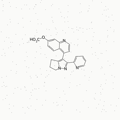 O=C(O)Oc1ccc2c(-c3c(-c4ccccn4)nn4c3CCC4)ccnc2c1